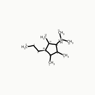 CCC[C@@H]1C(C)C(C)C([SiH](C)C)C1C